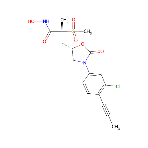 CC#Cc1ccc(N2C[C@H](C[C@](C)(C(=O)NO)S(C)(=O)=O)OC2=O)cc1Cl